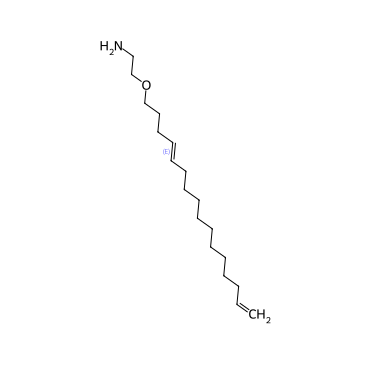 C=CCCCCCCCCC/C=C/CCCOCCN